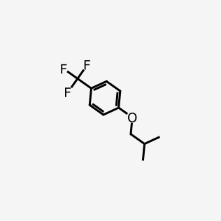 CC(C)COc1ccc(C(F)(F)F)cc1